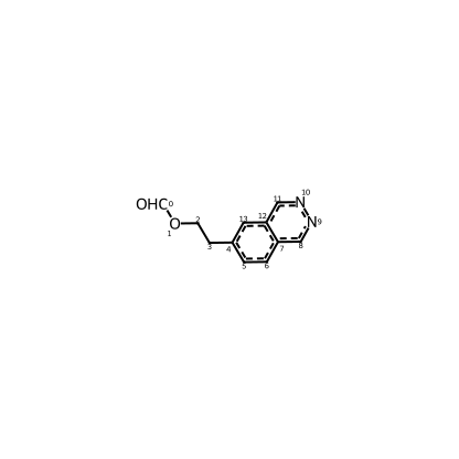 O=COCCc1ccc2cnncc2c1